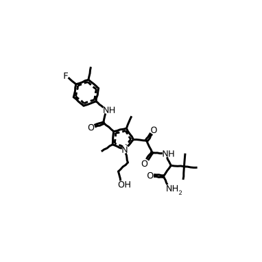 Cc1cc(NC(=O)c2c(C)c(C(=O)C(=O)NC(C(N)=O)C(C)(C)C)n(CCO)c2C)ccc1F